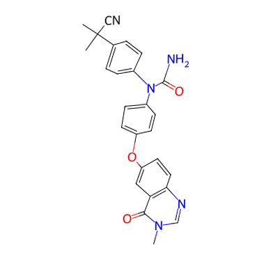 Cn1cnc2ccc(Oc3ccc(N(C(N)=O)c4ccc(C(C)(C)C#N)cc4)cc3)cc2c1=O